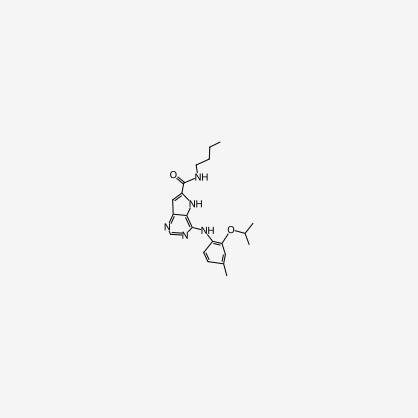 CCCCNC(=O)c1cc2ncnc(Nc3ccc(C)cc3OC(C)C)c2[nH]1